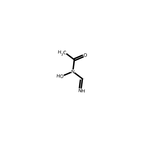 CC(=O)N(O)[C]=N